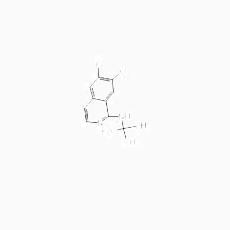 CC(C)(C)Nc1nccc2cc(F)c(Cl)cc12